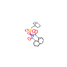 O=C1c2cccc3cccc(c23)C(=O)N1OS(=O)(=O)CC12CCC(CC1)C2